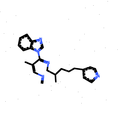 C=N/C=C(C)\C(=N/CC(C)CCCc1ccncc1)n1cnc2ccccc21